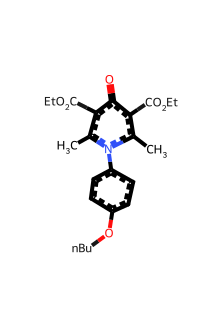 CCCCOc1ccc(-n2c(C)c(C(=O)OCC)c(=O)c(C(=O)OCC)c2C)cc1